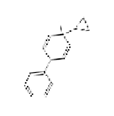 CC1(C2CC2)[C]=CC(c2ccccc2)C=C1